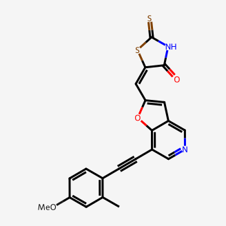 COc1ccc(C#Cc2cncc3cc(C=C4SC(=S)NC4=O)oc23)c(C)c1